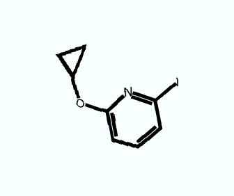 Ic1cccc(OC2CC2)n1